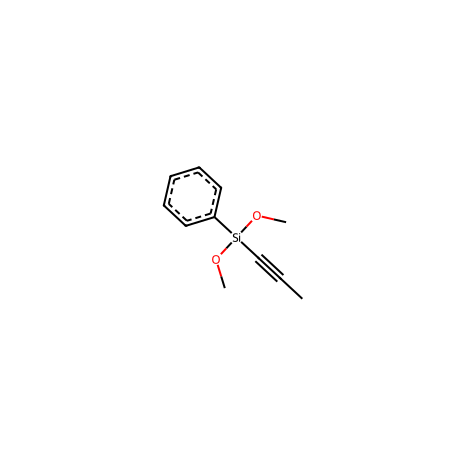 CC#C[Si](OC)(OC)c1ccccc1